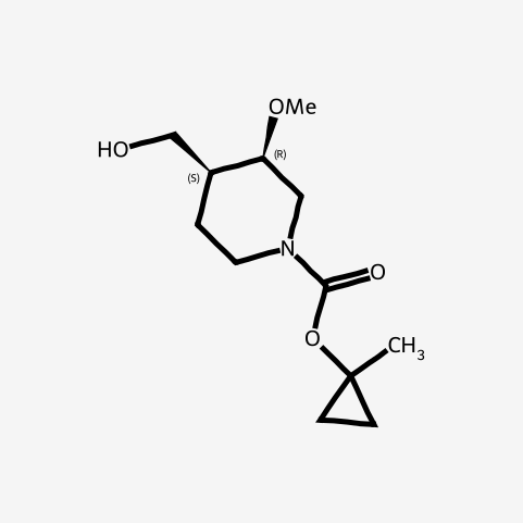 CO[C@H]1CN(C(=O)OC2(C)CC2)CC[C@H]1CO